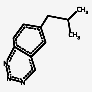 CC(C)Cc1ccc2nnncc2c1